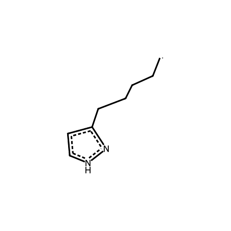 [CH2]CCCCc1cc[nH]n1